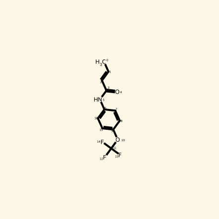 CC=CC(=O)Nc1ccc(OC(F)(F)F)cc1